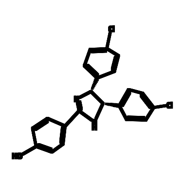 Oc1ccc(C2=N[C@H](c3ccc(Cl)cc3)[C@H](c3ccc(Cl)cc3)N2)cc1